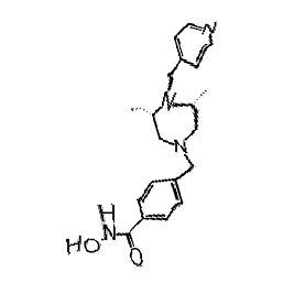 C[C@@H]1CN(Cc2ccc(C(=O)NO)cc2)C[C@H](C)N1Cc1ccncc1